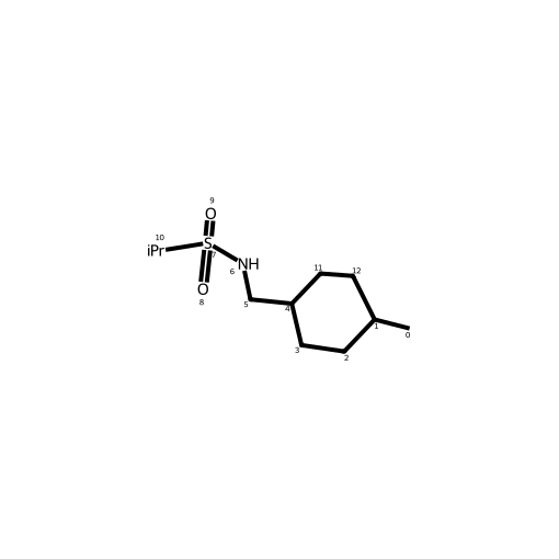 CC1CCC(CNS(=O)(=O)C(C)C)CC1